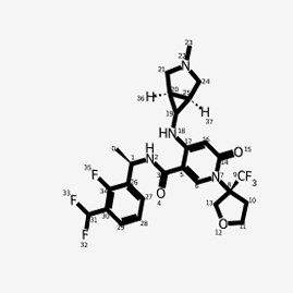 C[C@@H](NC(=O)c1cn([C@]2(C(F)(F)F)CCOC2)c(=O)cc1NC1[C@H]2CN(C)C[C@@H]12)c1cccc(C(F)F)c1F